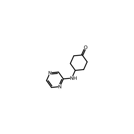 O=C1CCC(Nc2cnccn2)CC1